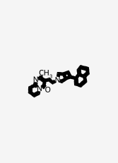 Cc1nc2ccccn2c(=O)c1CCN1CC2CC(c3cccc4ccccc34)C2C1